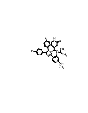 CNc1ccc(C2=NC(c3ccc(Cl)cc3)C(c3ccc(Cl)cc3)N2C(=O)N2CCNC(=O)C2)c(OC(C)C)c1